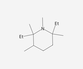 CCC1(C)CCC(C)C(C)(CC)N1C